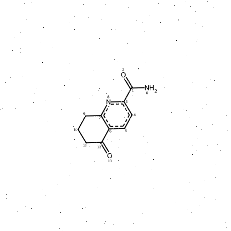 NC(=O)c1ccc2c(n1)CCCC2=O